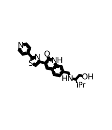 CC(C)[C@H](CO)NCc1ccc2cc(-c3csc(-c4ccncc4)n3)c(=O)[nH]c2c1